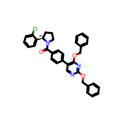 O=C(c1ccc(-c2cnc(OCc3ccccc3)nc2OCc2ccccc2)cc1)N1CCC[C@@H]1c1ccccc1Cl